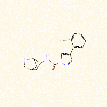 Cc1ccccc1-c1cnn(C(=O)NC2CC3CNC2C3)c1